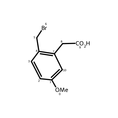 COc1ccc(CBr)c(CC(=O)O)c1